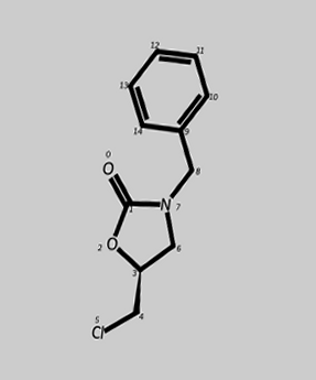 O=C1O[C@H](CCl)CN1Cc1ccccc1